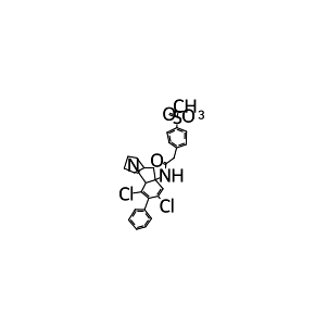 CS(=O)(=O)c1ccc(CC(=O)NC2(CC3CCCC3)C=C(Cl)C(c3ccccc3)=C(Cl)C2C#N)cc1